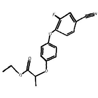 CCOC(=O)C(C)Oc1ccc(Oc2ccc(C#N)cc2F)cc1